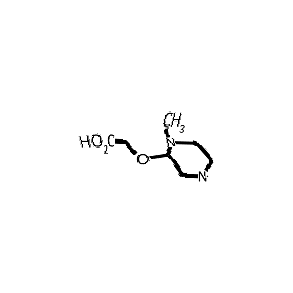 CN1CC[N]CC1OCC(=O)O